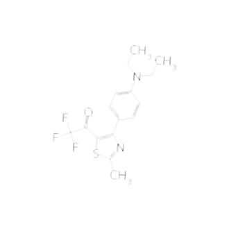 CCN(CC)c1ccc(-c2nc(C)sc2C(=O)C(F)(F)F)cc1